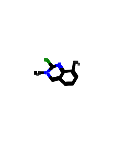 Cc1cccc2c1=NC(Cl)N(C)C=2